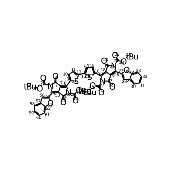 CC(C)(C)OC(=O)N1C(=O)C2=C(c3ccc(-c4ccc(C5=C6C(=O)N(C(=O)OC(C)(C)C)C(c7cc8ccccc8o7)=C6C(=O)N5C(=O)OC(C)(C)C)s4)s3)N(C(=O)OC(C)(C)C)C(=O)C2=C1c1cc2ccccc2o1